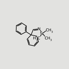 C[Si](C)(C)/N=C\C1(c2ccccc2)C=CC=CC1